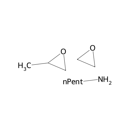 C1CO1.CC1CO1.CCCCCN